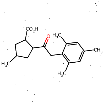 Cc1cc(C)c(CC(=O)C2CC(C)CC2C(=O)O)c(C)c1